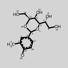 Cc1cc(C2O[C@H]([C@H](O)CO)[C@H](O)[C@H](CO)O2)ccc1Cl